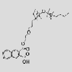 CCCC[Si](C)(C)C(C)(C)O[Si](C)(C)[C@](C)(CC)CCCOCCOC(=O)c1cc2ccccc2cc1C(=O)O